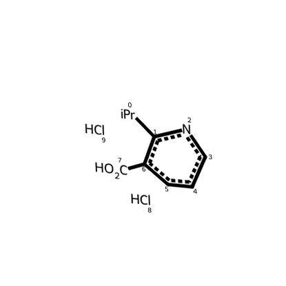 CC(C)c1ncccc1C(=O)O.Cl.Cl